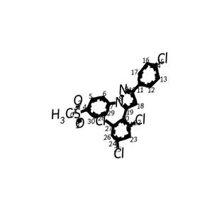 CS(=O)(=O)c1ccc(-n2nc(-c3ccc(Cl)cc3)cc2-c2c(Cl)cc(Cl)cc2Cl)cc1